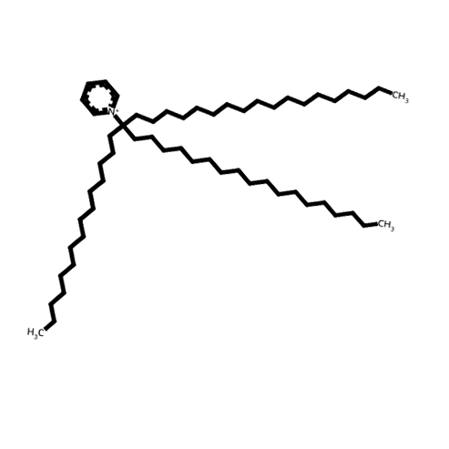 CCCCCCCCCCCCCCCCCCC(CCCCCCCCCCCCCCC)(CCCCCCCCCCCCCCCCCC)[n+]1ccccc1